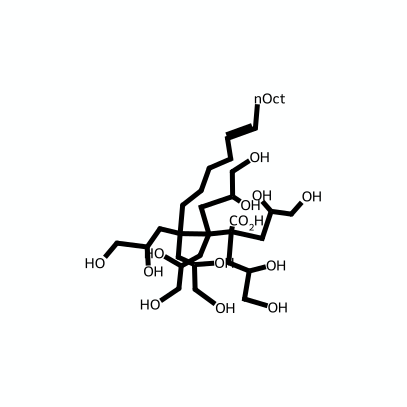 CCCCCCCCC=CCCCCC(CC(O)CO)(CC(O)CO)C(CC(O)CO)(CC(O)CO)C(CC(O)CO)(CC(O)CO)C(=O)O